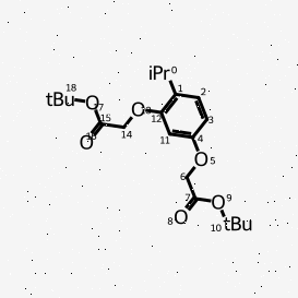 CC(C)c1ccc(OCC(=O)OC(C)(C)C)cc1OCC(=O)OC(C)(C)C